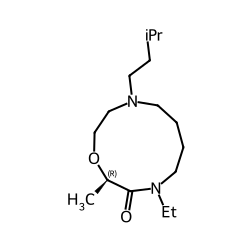 CCN1CCCCN(CCC(C)C)CCO[C@H](C)C1=O